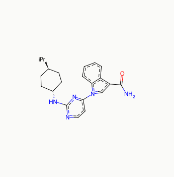 CC(C)[C@H]1CC[C@H](Nc2nccc(-n3cc(C(N)=O)c4ccccc43)n2)CC1